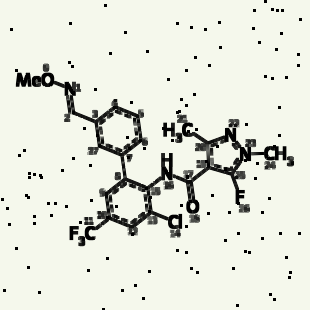 CO/N=C/c1cccc(-c2cc(C(F)(F)F)cc(Cl)c2NC(=O)c2c(C)nn(C)c2F)c1